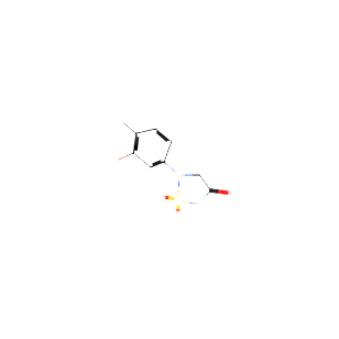 Cc1ccc(N2CC(=O)NS2(=O)=O)cc1O